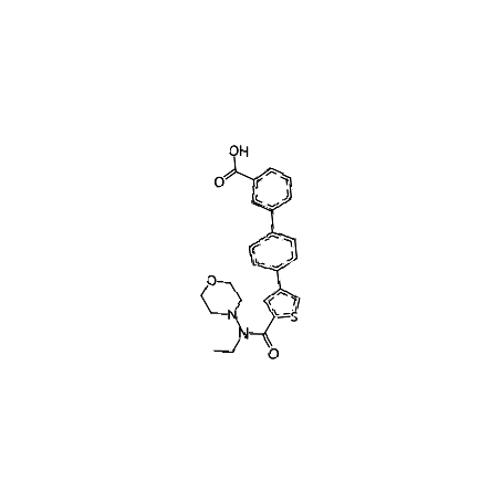 CCN(C(=O)c1cc(-c2ccc(-c3cccc(C(=O)O)c3)cc2)cs1)N1CCOCC1